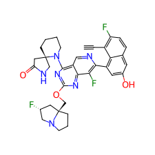 C#Cc1c(F)ccc2cc(O)cc(-c3ncc4c(N5CCCC[C@]56CNC(=O)C6)nc(OC[C@@]56CCCN5C[C@H](F)C6)nc4c3F)c12